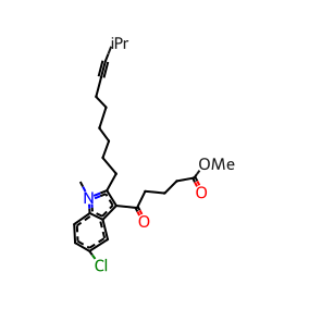 COC(=O)CCCC(=O)c1c(CCCCCCC#CC(C)C)n(C)c2ccc(Cl)cc12